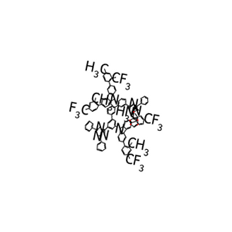 Cc1ccc(-c2ccc3c(c2)c2cc(-c4ccc(C(F)(F)F)cc4C)ccc2n3-c2ccc(-c3nc(-c4ccccc4)nc(-c4ccccc4)n3)cc2-c2cccc(-c3cc(-c4nc(-c5ccccc5)nc(-c5ccccc5)n4)cc(-n4c5ccc(-c6ccc(C(F)(F)F)cc6C)cc5c5cc(-c6ccc(C(F)(F)F)cc6C)ccc54)c3)c2)c(C(F)(F)F)c1